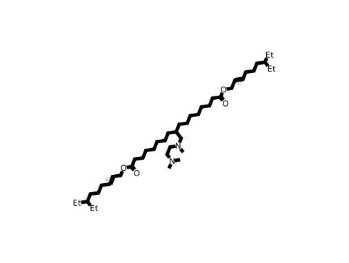 CCC(CC)CCC/C=C/COC(=O)CCCCCCCC(CCCCCCCC(=O)OC/C=C/CCCC(CC)CC)CN(C)CCN(C)C